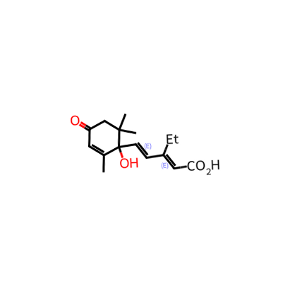 CCC(/C=C/C1(O)C(C)=CC(=O)CC1(C)C)=C\C(=O)O